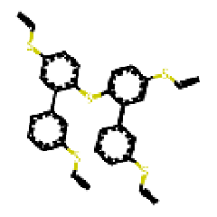 C=CSc1cccc(-c2cc(SC=C)ccc2Sc2ccc(SC=C)cc2-c2cccc(SC=C)c2)c1